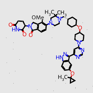 COc1c(N2CCN(C[C@H]3CC[C@H](OC4CCN(c5cc(-c6n[nH]c7ccc(OC8(C)CC8)cc67)ncn5)CC4)CC3)C(C)(C)C2)ccc2c1CN(C1CCC(=O)NC1=O)C2=O